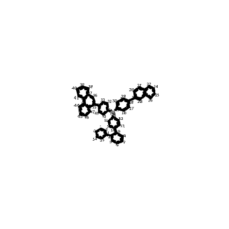 c1ccc(-c2ccccc2-c2ccc(N(c3ccc(-c4ccc5ccccc5c4)cc3)c3ccc(-c4cc5ccccc5c5ccccc45)cc3)cc2)cc1